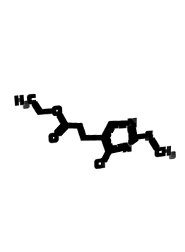 CCOC(=O)CCc1cnc(SC)nc1Cl